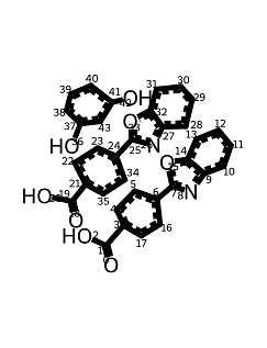 O=C(O)c1ccc(-c2nc3ccccc3o2)cc1.O=C(O)c1ccc(-c2nc3ccccc3o2)cc1.Oc1cccc(O)c1